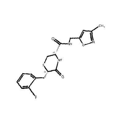 Cc1cc(CNC(=O)[C@H]2CS[C@@H](Cc3ccccc3F)C(=O)N2)on1